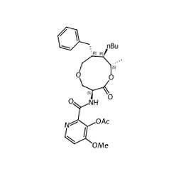 CCCC[C@@H]1[C@@H](Cc2ccccc2)COC[C@H](NC(=O)c2nccc(OC)c2OC(C)=O)C(=O)O[C@H]1C